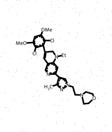 CCN1CC(c2c(Cl)c(OC)cc(OC)c2Cl)=Cc2cnc(-c3cn(CCN4CCOCC4)nc3C)cc21